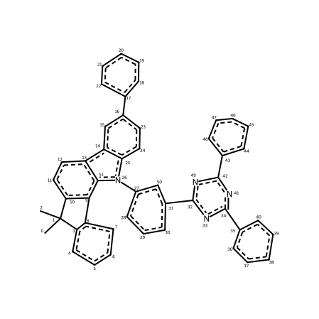 CC1(C)c2ccccc2-c2c1ccc1c3cc(-c4ccccc4)ccc3n(-c3cccc(-c4nc(-c5ccccc5)nc(-c5ccccc5)n4)c3)c21